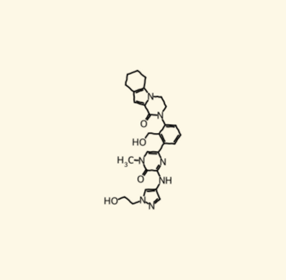 Cn1cc(-c2cccc(N3CCn4c(cc5c4CCCC5)C3=O)c2CO)nc(Nc2cnn(CCO)c2)c1=O